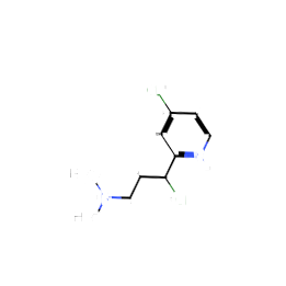 CN(C)CCC(Cl)c1cc(Cl)ccn1